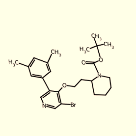 Cc1cc(C)cc(-c2cncc(Br)c2OCCC2CCCCN2C(=O)OC(C)(C)C)c1